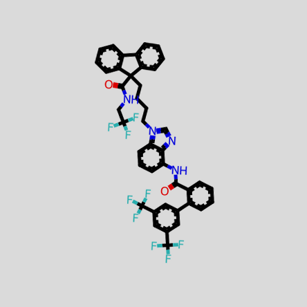 O=C(Nc1cccc2c1ncn2CCCCC1(C(=O)NCC(F)(F)F)c2ccccc2-c2ccccc21)c1ccccc1-c1cc(C(F)(F)F)cc(C(F)(F)F)c1